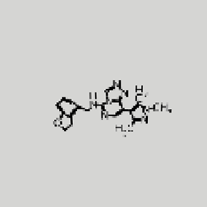 Cc1nn(C)c(C)c1-c1cnc(NCc2cccc3c2CCO3)n2cnnc12